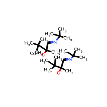 CC(C)(C)N=CC(C)([O-])C(C)(C)C.CC(C)(C)N=CC(C)([O-])C(C)(C)C.[Co+2]